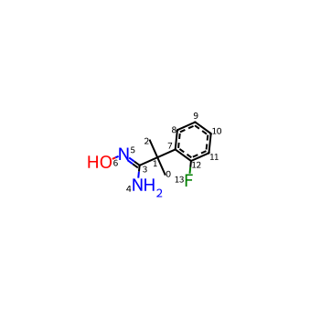 CC(C)(C(N)=NO)c1ccccc1F